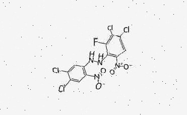 O=[N+]([O-])c1cc(Cl)c(Cl)cc1NNc1c([N+](=O)[O-])cc(Cl)c(Cl)c1F